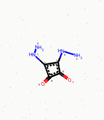 NNc1c(NN)c(=O)c1=O